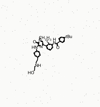 Cc1c(NC(=O)c2ccc(C(C)(C)C)cc2)cccc1-c1cn(C)c(=O)c(Nc2ccc(CCNCCO)cc2)n1